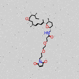 CC[C@H](C)[C@@H](C)[C@H]1O[C@]1(C)C[C@H](C)/C=C/C=C(\C)[C@H]1O[C@@H](CNC(=O)CCOCCOCCCN2C(=O)C=CC2=O)CC[C@@H]1C